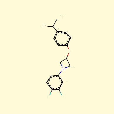 CCCC(CCC)c1ccc(OC2CN(c3ccc(F)c(F)c3)C2)cc1